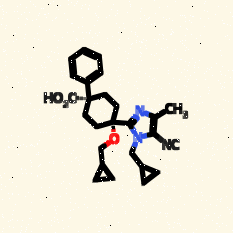 [C-]#[N+]c1c(C)nc([C@]2(OCC3CC3)CC[C@](C(=O)O)(c3ccccc3)CC2)n1CC1CC1